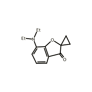 CCN(CC)c1cccc2c1OC1(CC1)C2=O